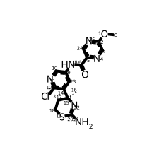 COc1cnc(C(=O)Nc2cnc(Cl)c([C@]3(C)CCSC(N)=N3)c2)cn1